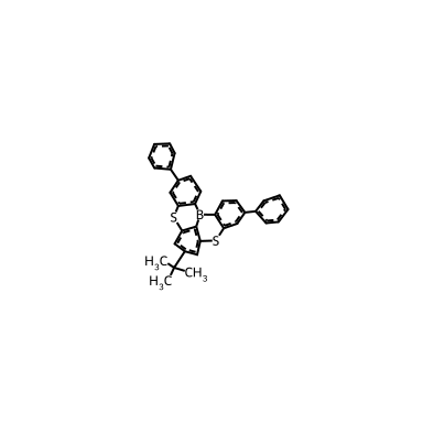 CC(C)(C)c1cc2c3c(c1)Sc1cc(-c4ccccc4)ccc1B3c1ccc(-c3ccccc3)cc1S2